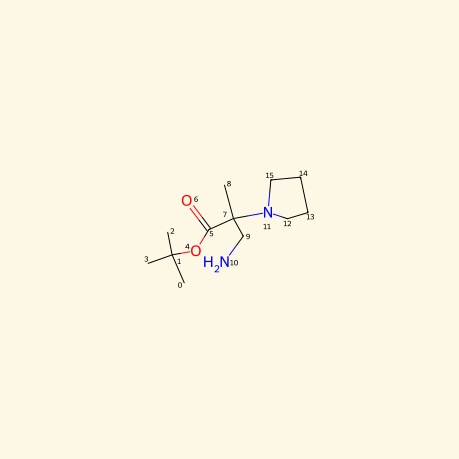 CC(C)(C)OC(=O)C(C)(CN)N1CCCC1